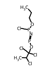 CCCOP(Cl)N=POC(Cl)(Cl)C(C)Cl